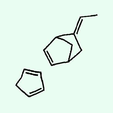 C1=CCC=C1.CC=C1CC2C=CC1C2